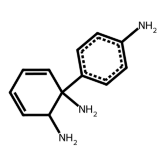 Nc1ccc(C2(N)C=CC=CC2N)cc1